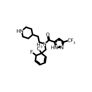 CC1(CN(CCC2CCNCC2)C(=O)c2cc(C(F)(F)F)n[nH]2)C=CC=CC1F